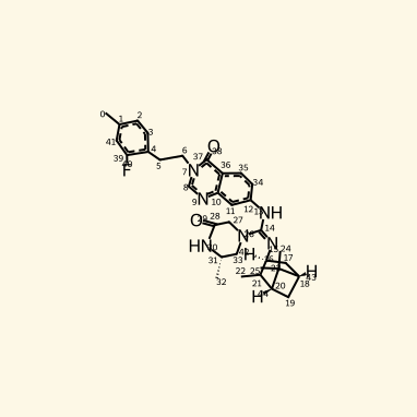 Cc1ccc(CCn2cnc3cc(N/C(=N/[C@H]4C[C@@H]5C[C@H](C4C)C5(C)C)N4CC(=O)N[C@@H](C)C4)ccc3c2=O)c(F)c1